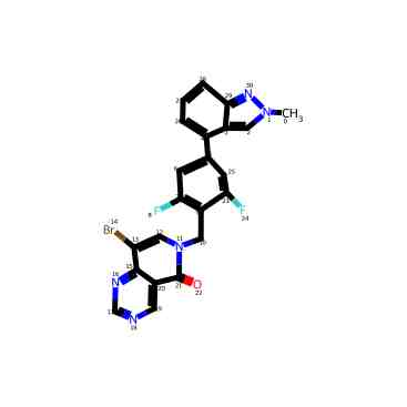 Cn1cc2c(-c3cc(F)c(Cn4cc(Br)c5ncncc5c4=O)c(F)c3)cccc2n1